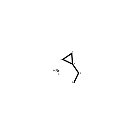 Br.CCC1CC1